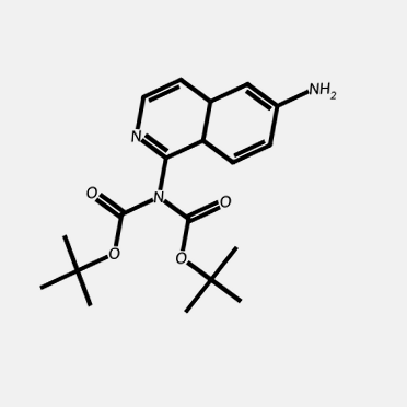 CC(C)(C)OC(=O)N(C(=O)OC(C)(C)C)C1=NC=CC2C=C(N)C=CC12